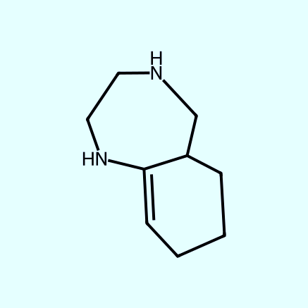 C1=C2NCCNCC2CCC1